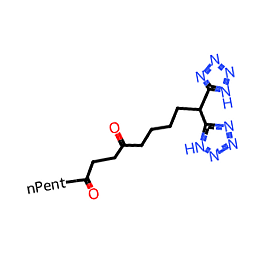 CCCCCC(=O)CCC(=O)CCCCC(c1nnn[nH]1)c1nnn[nH]1